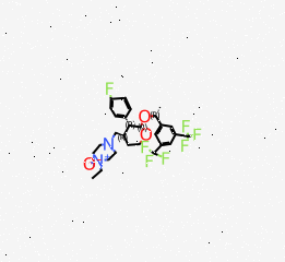 CC[N+]1([O-])CCN(C[C@@H]2CCO[C@H](O[C@H](C)c3cc(C(F)(F)F)cc(C(F)(F)F)c3)[C@H]2c2ccc(F)cc2)CC1